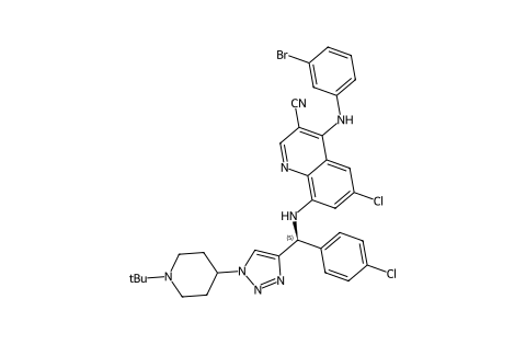 CC(C)(C)N1CCC(n2cc([C@@H](Nc3cc(Cl)cc4c(Nc5cccc(Br)c5)c(C#N)cnc34)c3ccc(Cl)cc3)nn2)CC1